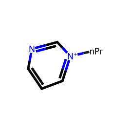 CCC[n+]1cccnc1